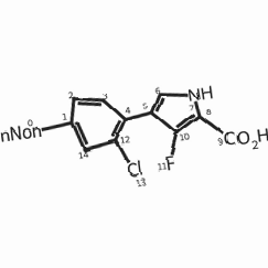 CCCCCCCCCc1ccc(-c2c[nH]c(C(=O)O)c2F)c(Cl)c1